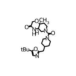 CC(C)(C)c1cnc(CC2CCN(C(=O)N3CC[C@]4(C)OCC(=O)N[C@@H]4C3)CC2)o1